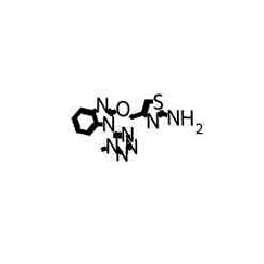 Cn1nnnc1-n1c(OCc2csc(N)n2)nc2ccccc21